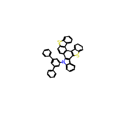 c1ccc(-c2cc(-c3ccccc3)cc(-n3c4ccccc4c4c5sc6ccccc6c5c5c(ccc6sc7ccccc7c65)c43)c2)cc1